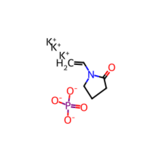 C=CN1CCCC1=O.O=P([O-])([O-])[O-].[K+].[K+].[K+]